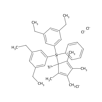 CCc1cc(CC)cc([Si](c2ccccc2)(c2cc(CC)cc(CC)c2)[C]2([Ti+3])C(C)=C(C)C(C)=C2C)c1.[Cl-].[Cl-].[Cl-]